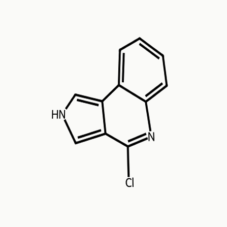 Clc1nc2ccccc2c2c[nH]cc12